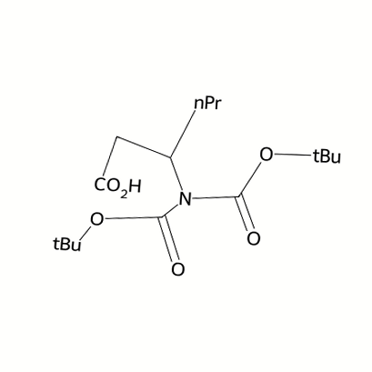 CCCC(CC(=O)O)N(C(=O)OC(C)(C)C)C(=O)OC(C)(C)C